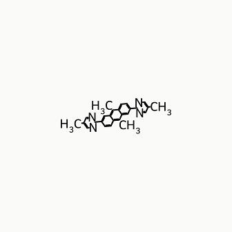 Cc1cnc(-c2ccc3c(C)c4cc(-c5ncc(C)cn5)ccc4c(C)c3c2)nc1